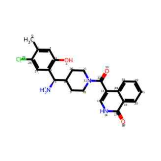 Cc1cc(O)c([C@H](N)C2CCN(C(=O)c3c[nH]c(=O)c4ccccc34)CC2)cc1Cl